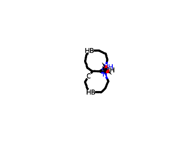 B1CCCNC23CCCCBCCCN2CCCBCCCC3CCC1